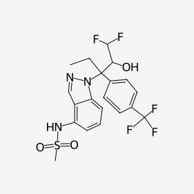 CCC(c1ccc(C(F)(F)F)cc1)(C(O)C(F)F)n1ncc2c(NS(C)(=O)=O)cccc21